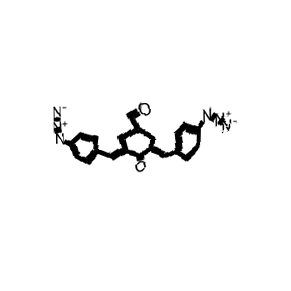 [N-]=[N+]=Nc1ccc(/C=C2\CC(C=O)C/C(=C\c3ccc(N=[N+]=[N-])cc3)C2=O)cc1